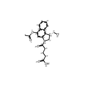 CC(=O)Oc1cc2c(c3ccccc13)[C@H](CCl)CN2C(=O)CCCC(=O)O